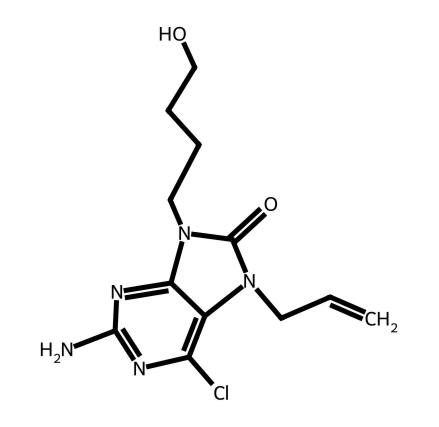 C=CCn1c(=O)n(CCCCO)c2nc(N)nc(Cl)c21